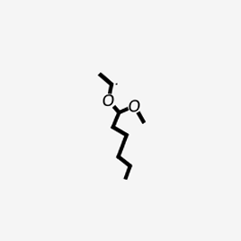 C[CH]OC(CCCCC)OC